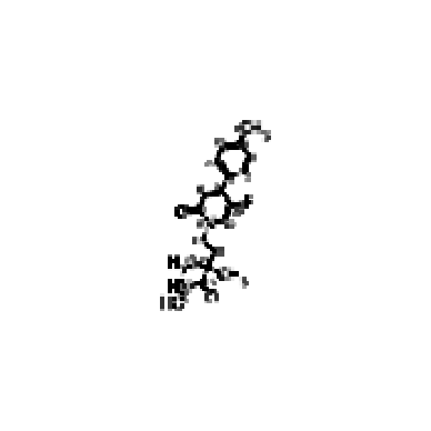 Cc1ccc(-c2cc(=O)n(CCC(C)(C)C(=O)NO)cc2F)cc1